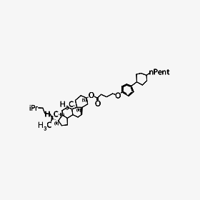 CCCCCC1CCC(c2ccc(OCCCC(=O)O[C@H]3CC[C@@]4(C)C(=CCC5C4CC[C@@]4(C)C5CC[C@@H]4C(C)CCCC(C)C)C3)cc2)CC1